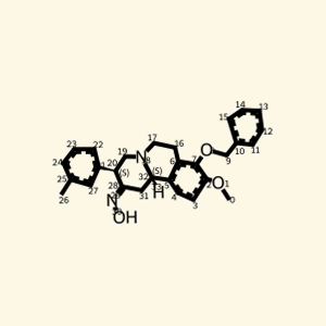 COc1ccc2c(c1OCc1ccccc1)CCN1C[C@H](c3cccc(C)c3)C(=NO)C[C@@H]21